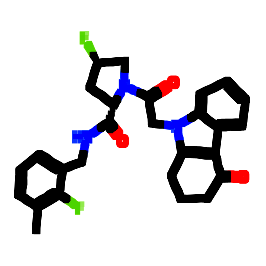 Cc1cccc(CNC(=O)[C@@H]2C[C@@H](F)CN2C(=O)Cn2c3c(c4ccccc42)C(=O)CCC3)c1F